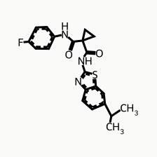 CC(C)c1ccc2nc(NC(=O)C3(C(=O)Nc4ccc(F)cc4)CC3)sc2c1